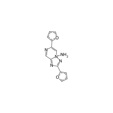 N[N+]12C=C(c3ccco3)N=CC1=NC(c1ccco1)=N2